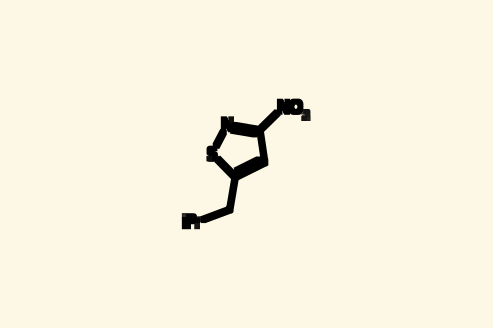 CC(C)Cc1cc([N+](=O)[O-])ns1